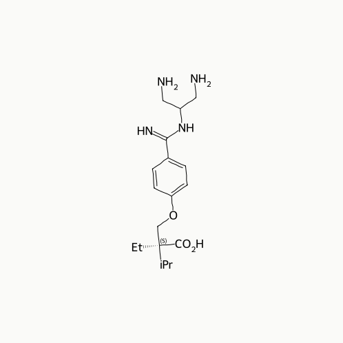 CC[C@](COc1ccc(C(=N)NC(CN)CN)cc1)(C(=O)O)C(C)C